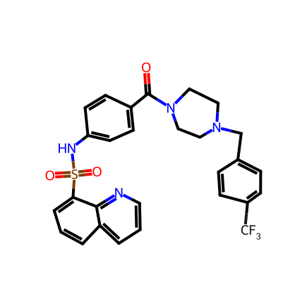 O=C(c1ccc(NS(=O)(=O)c2cccc3cccnc23)cc1)N1CCN(Cc2ccc(C(F)(F)F)cc2)CC1